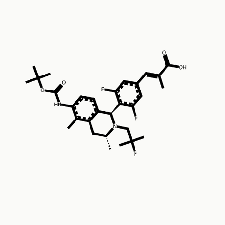 C/C(=C\c1cc(F)c([C@@H]2c3ccc(NC(=O)OC(C)(C)C)c(C)c3C[C@@H](C)N2CC(C)(C)F)c(F)c1)C(=O)O